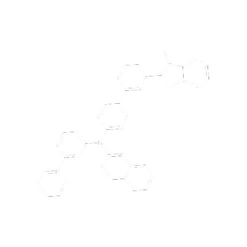 Cc1c(-c2cccc(-c3ccc(N(c4cccc(-c5ccccc5)c4)c4ccc5ccccc5c4)cc3)c2)oc2ccccc12